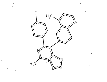 Cc1ccnc2ccc(-c3c(-c4ccc(F)cc4)nc(N)n4nnnc34)cc12